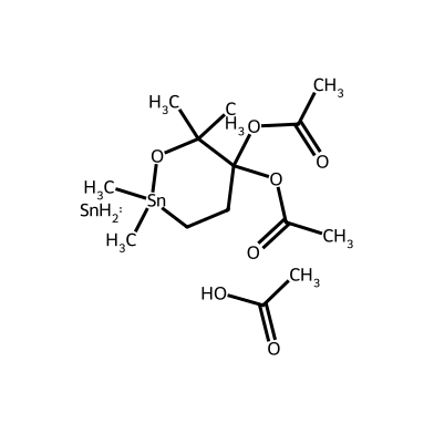 CC(=O)O.CC(=O)OC1(OC(C)=O)C[CH2][Sn]([CH3])([CH3])[O]C1(C)C.[SnH2]